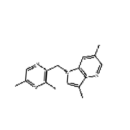 Cc1cnc2c(C)cn(Cc3ncc(C)nc3C)c2c1